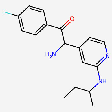 CCC(C)Nc1cc(C(N)C(=O)c2ccc(F)cc2)ccn1